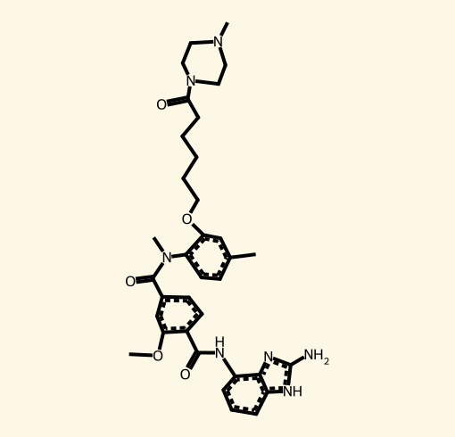 COc1cc(C(=O)N(C)c2ccc(C)cc2OCCCCCC(=O)N2CCN(C)CC2)ccc1C(=O)Nc1cccc2[nH]c(N)nc12